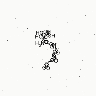 COc1ccc(CCO[C@@H]2CCCC[C@@H]2N2CC[C@@H](OC(=O)N(C)CCN(C)C(=O)OCc3ccc(OC4OC(C(=O)O)C(O)C(O)C4O)c(N)c3)C2)cc1OC